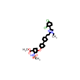 CCn1cc(-c2ccc(Cl)cc2Cl)nc1C=Cc1ccc(-c2ccc(Oc3ccc(C(=O)OC)c(NS(C)(=O)=O)c3)cc2)cc1